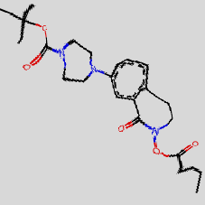 CCCC(=O)ON1CCc2ccc(N3CCN(C(=O)OC(C)(C)C)CC3)cc2C1=O